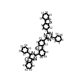 c1ccc(-c2nc(-c3ccc4c(c3)sc3ccccc34)nc(-c3ccc4oc5c(-c6nc(-c7ccccc7)c7oc8ccccc8c7n6)cccc5c4c3)n2)cc1